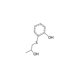 CC(O)CSc1ccccc1O